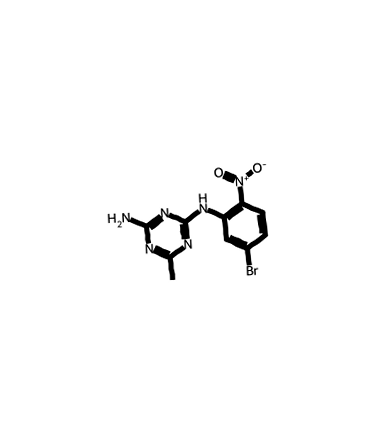 Cc1nc(N)nc(Nc2cc(Br)ccc2[N+](=O)[O-])n1